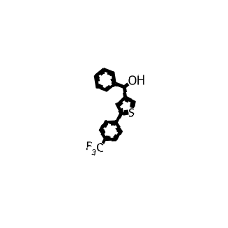 OC(c1ccccc1)c1csc(-c2ccc(C(F)(F)F)cc2)c1